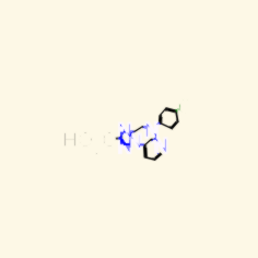 O=C(O)c1nc2n(n1)-c1cccnc1N(c1ccc(Cl)cc1)C2